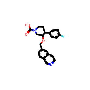 O=C(O)N1CCC(c2ccc(F)cc2)C(OCc2ccc3cnccc3c2)C1